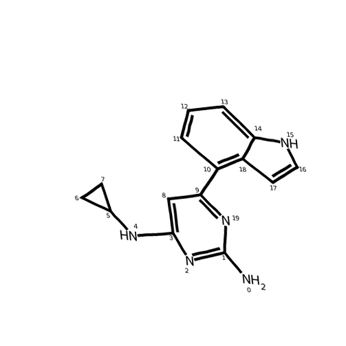 Nc1nc(NC2CC2)cc(-c2cccc3[nH]ccc23)n1